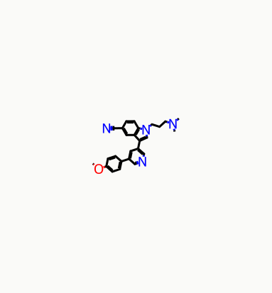 COc1ccc(-c2cncc(-c3cn(CCCN(C)C)c4ccc(C#N)cc34)c2)cc1